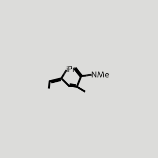 C=C(NC)/C(C)=C\C(=C/C)C(C)C